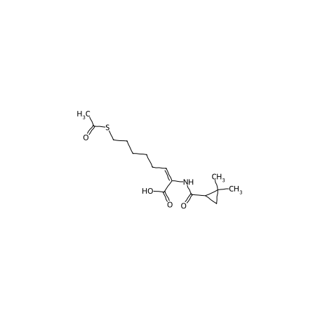 CC(=O)SCCCCCC=C(NC(=O)C1CC1(C)C)C(=O)O